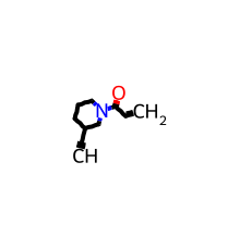 C#CC1CCCN(C(=O)C=C)C1